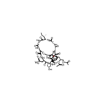 CC[C@H](C)[C@@H]1NC(=O)CNC(=O)C2Cc3c([nH]c4ccccc34)SCC(NC(=O)CNC1=O)C(=O)NC(CC(=O)O)C(=O)N1C[C@H](O)C[C@H]1C(=O)N[C@@H](C[C@@H](COC(C)=O)OC(C)=O)C(=O)N2